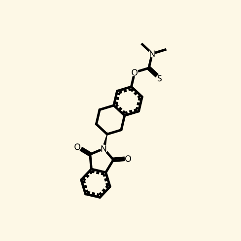 CN(C)C(=S)Oc1ccc2c(c1)CC[C@H](N1C(=O)c3ccccc3C1=O)C2